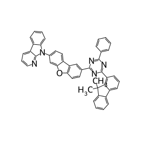 CC1(C)c2ccccc2-c2cccc(-c3nc(-c4ccccc4)nc(-c4ccc5oc6cc(-n7c8ccccc8c8cccnc87)ccc6c5c4)n3)c21